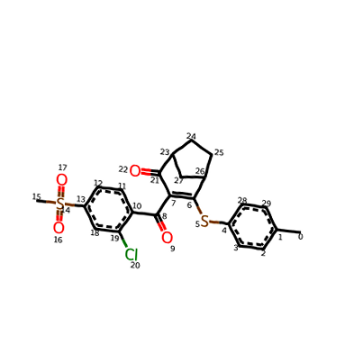 Cc1ccc(SC2=C(C(=O)c3ccc(S(C)(=O)=O)cc3Cl)C(=O)C3CCC2C3)cc1